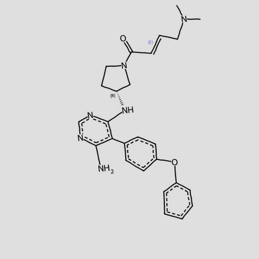 CN(C)C/C=C/C(=O)N1CC[C@@H](Nc2ncnc(N)c2-c2ccc(Oc3ccccc3)cc2)C1